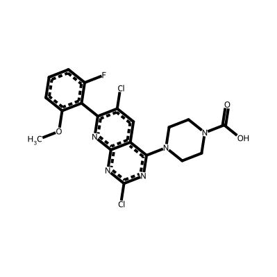 COc1cccc(F)c1-c1nc2nc(Cl)nc(N3CCN(C(=O)O)CC3)c2cc1Cl